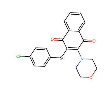 O=C1C([Se]c2ccc(Cl)cc2)=C(N2CCOCC2)C(=O)c2ccccc21